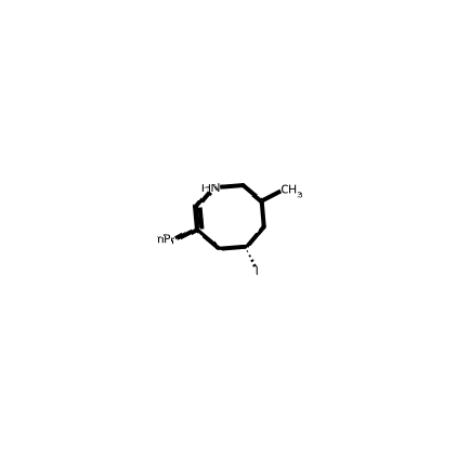 CCC/C1=C/NCC(C)C[C@H](I)C1